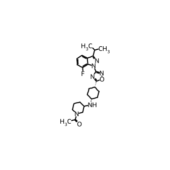 CC(=O)N1CCCC(N[C@H]2CC[C@@H](c3nc(-n4nc(C(C)C)c5cccc(F)c54)no3)CC2)C1